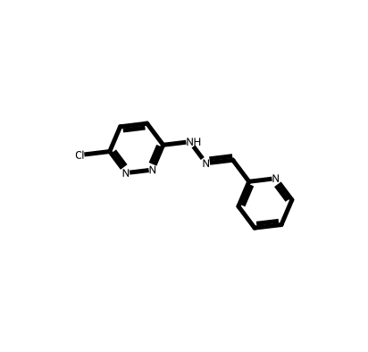 Clc1ccc(NN=Cc2ccccn2)nn1